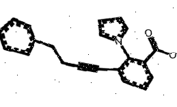 O=C(O)c1cccc(C#CCCc2ccccc2)c1-n1cccc1